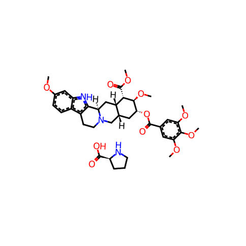 COC(=O)[C@H]1[C@H]2C[C@@H]3c4[nH]c5cc(OC)ccc5c4CCN3C[C@H]2C[C@@H](OC(=O)c2cc(OC)c(OC)c(OC)c2)[C@@H]1OC.O=C(O)[C@@H]1CCCN1